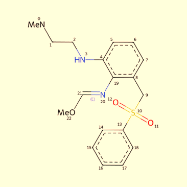 CNCCNc1cccc(CS(=O)(=O)c2ccccc2)c1/N=C/OC